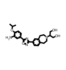 CC(C)Oc1ccc(-c2nc(-c3ccc4c(c3)CCN(C(CO)CO)CC4)no2)cc1N